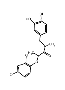 CC(Oc1ccc(Cl)cc1Cl)C(=O)N(C)Cc1ccc(O)c(O)c1